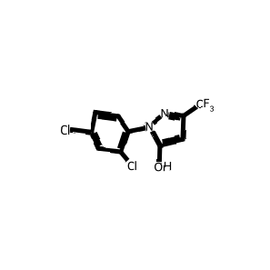 Oc1cc(C(F)(F)F)nn1-c1ccc(Cl)cc1Cl